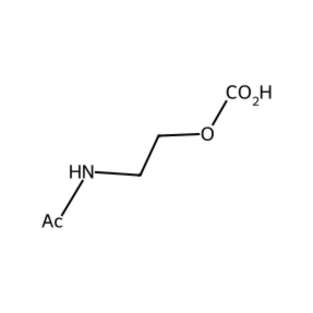 CC(=O)NCCOC(=O)O